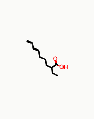 C=CC=CCCCC(CC)C(=O)O